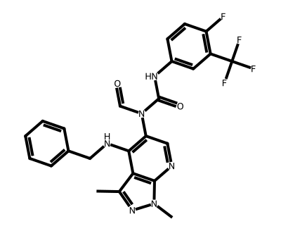 Cc1nn(C)c2ncc(N(C=O)C(=O)Nc3ccc(F)c(C(F)(F)F)c3)c(NCc3ccccc3)c12